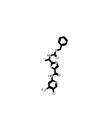 CC(NC(=O)OCc1ccccc1)c1ncc(C(=O)Nc2cc(C(F)(F)F)c(Cl)cn2)s1